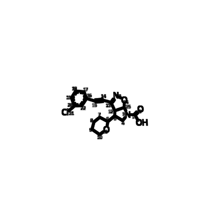 O=C(O)N1CC(C2CCCCO2)C2C(C#Cc3cccc(Cl)c3)=NOC21